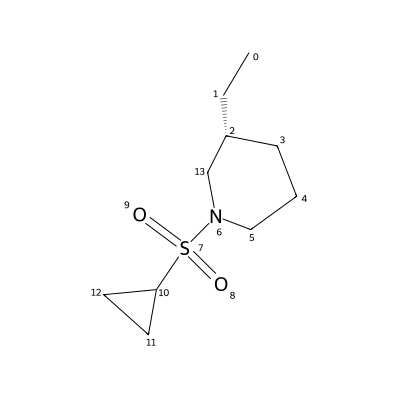 CC[C@@H]1CCCN(S(=O)(=O)C2CC2)C1